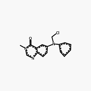 Cn1cnc2ccc(N(CCl)c3ccccc3)cc2c1=O